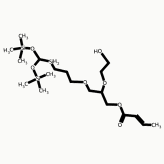 CC=CC(=O)OCC(COCCC[SiH2]C(O[Si](C)(C)C)O[Si](C)(C)C)OCCO